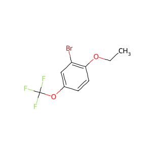 CCOc1ccc(OC(F)(F)F)cc1Br